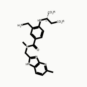 Cc1ccc2[nH]c(CN(C)C(=O)c3ccc(N[C@@H](CC(=O)O)C(=O)O)c(CN)c3)nc2n1